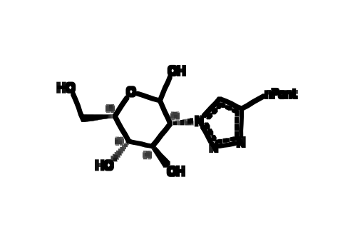 CCCCCc1cn([C@H]2C(O)O[C@H](CO)[C@@H](O)[C@@H]2O)nn1